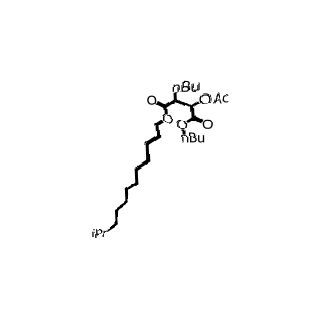 CCCCOC(=O)C(OC(C)=O)C(CCCC)C(=O)OCCCCCCCCCCC(C)C